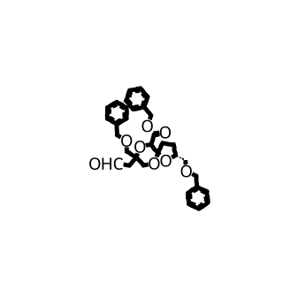 O=CCC1(COCc2ccccc2)COC2(CC[C@H](COCc3ccccc3)O2)C(C(=O)OCc2ccccc2)O1